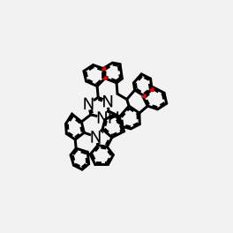 c1ccc(CC(c2ccccc2)c2c(-c3ccccc3)cccc2C2N=C(c3ccccc3)N=C(c3cccc(-c4ccccc4)c3-n3c4ccccc4c4ccccc43)N2)cc1